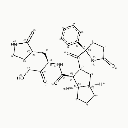 O=C1CC[C@](C(=O)N2C[C@H]3CCC[C@H]3[C@H]2C(=O)N[C@H](C[C@@H]2CCNC2=O)C(=O)CO)(c2ccccc2)N1